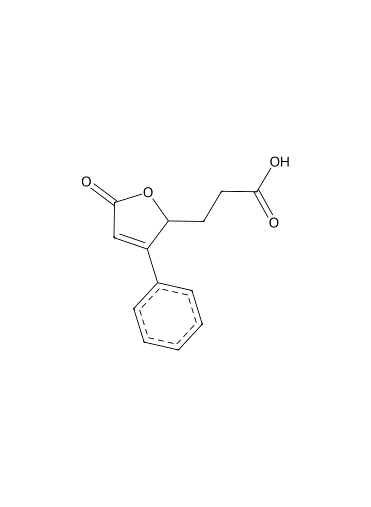 O=C(O)CCC1OC(=O)C=C1c1ccccc1